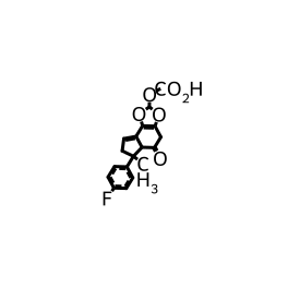 CC1(c2ccc(F)cc2)CC=C2C3=C(CC(=O)C21)OC(OC(=O)O)O3